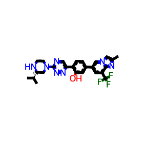 Cc1cn2cc(-c3ccc(-c4cnc(N5CCN[C@@H](C(C)C)C5)nn4)c(O)c3)cc(C(F)(F)F)c2n1